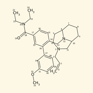 C=CCN1CCC2CCCC(C1)N2Cc1ccc(C(=O)N(CC)CC)cc1-c1cccc(OC)c1